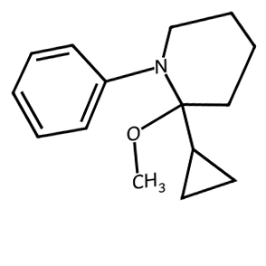 COC1(C2CC2)CCCCN1c1ccccc1